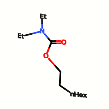 CCCCCCCCOC(=O)N(CC)CC